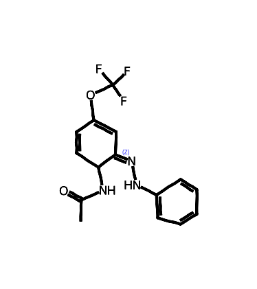 CC(=O)NC1C=CC(OC(F)(F)F)=C/C1=N/Nc1ccccc1